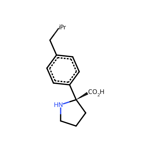 CC(C)Cc1ccc([C@]2(C(=O)O)CCCN2)cc1